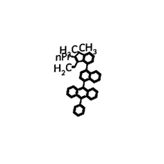 C=CC1=C(CCC)C(C)(C)c2cccc(-c3ccc(-c4c5ccccc5c(-c5ccccc5)c5ccccc45)c4ccccc34)c21